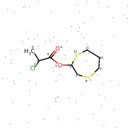 CC(Cl)C(=O)OC1CSCCCS1